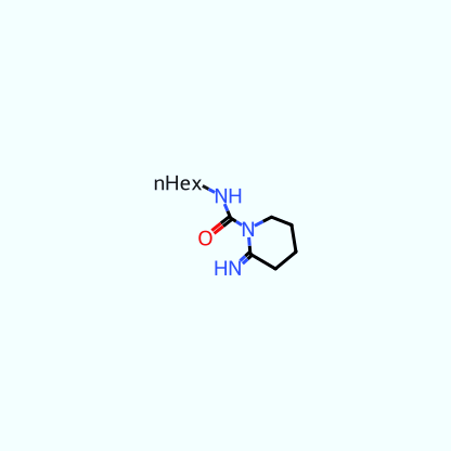 CCCCCCNC(=O)N1CCCCC1=N